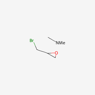 BrCC1CO1.CNC